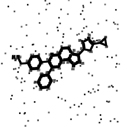 NCc1ccc(-c2nc3ccn4c(C5=NN=C(C6CC6)C5)nnc4c3cc2-c2ccccc2)cc1